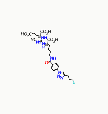 N#C/N=C(/N[C@@H](CCCCNC(=O)c1ccc(-n2cc(CCCF)nn2)cc1)C(=O)O)N[C@@H](CCC(=O)O)C(=O)O